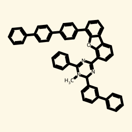 CN1C(c2ccccc2)=NC(c2cccc3c2oc2c(-c4ccc(-c5ccc(-c6ccccc6)cc5)cc4)cccc23)=NC1c1cccc(-c2ccccc2)c1